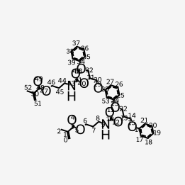 C=C(C)C(=O)OCCCNC(=O)OC(COc1ccccc1)COc1cccc(OCC(COc2ccccc2)OC(=O)NCCCOC(=O)C(=C)C)c1